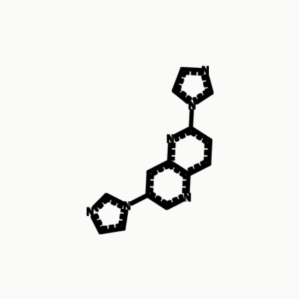 c1cn(-c2cnc3ccc(-n4ccnc4)nc3c2)cn1